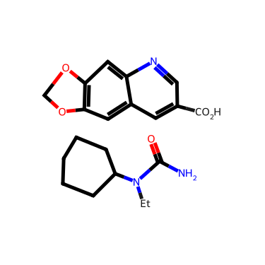 CCN(C(N)=O)C1CCCCC1.O=C(O)c1cnc2cc3c(cc2c1)OCO3